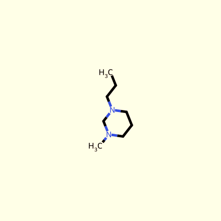 CCCN1CCCN(C)C1